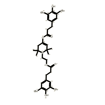 CC(C)(C)c1cc(CCC(=O)OCCN2C(C)(C)C=C(OC(=O)CCc3cc(C(C)(C)C)c(O)c(C(C)(C)C)c3)CC2(C)C)cc(C(C)(C)C)c1O